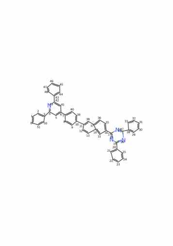 c1ccc(-c2cc(-c3ccc(-c4ccc5cc(-c6nc(-c7ccccc7)nc(-c7ccccc7)n6)ccc5c4)cc3)cc(-c3ccccc3)n2)cc1